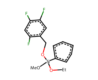 CCO[Si](OC)(OCc1cc(F)c(F)cc1F)c1ccccc1